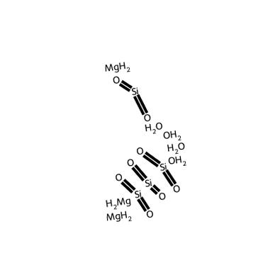 O.O.O.O.O=[Si]=O.O=[Si]=O.O=[Si]=O.O=[Si]=O.[MgH2].[MgH2].[MgH2]